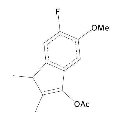 COc1cc2c(cc1F)C(C)C(C)=C2OC(C)=O